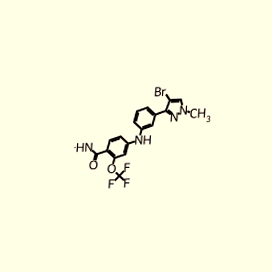 Cn1cc(Br)c(-c2cccc(Nc3ccc(C([NH])=O)c(OC(F)(F)F)c3)c2)n1